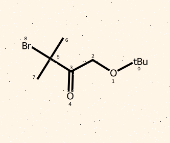 CC(C)(C)OCC(=O)C(C)(C)Br